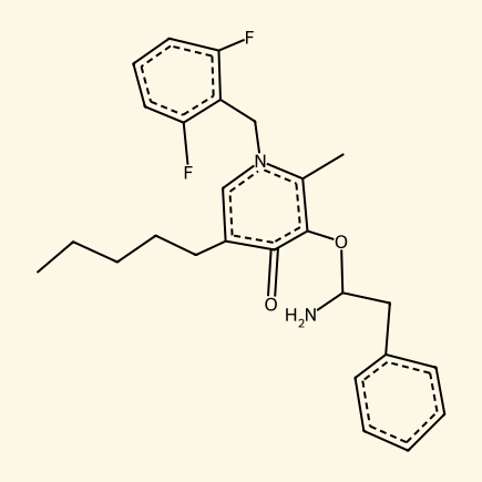 CCCCCc1cn(Cc2c(F)cccc2F)c(C)c(OC(N)Cc2ccccc2)c1=O